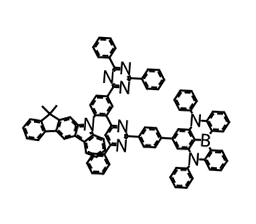 CC1(C)c2ccccc2-c2cc3c4ccccc4n(-c4ccc(-c5nc(-c6ccccc6)nc(-c6ccccc6)n5)cc4-c4cc(-c5ccccc5)nc(-c5ccc(-c6cc7c8c(c6)N(c6ccccc6)c6ccccc6B8c6ccccc6N7c6ccccc6)cc5)n4)c3cc21